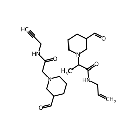 C#CCNC(=O)CN1CCCC(C=O)C1.C=CCNC(=O)C(C)N1CCCC(C=O)C1